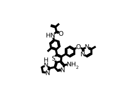 C=C(C)C(=O)Nc1ccc(-c2sc3c(C4=NCCN4)cnc(N)c3c2-c2ccc(Oc3nccc(C)n3)cc2)c(C)c1